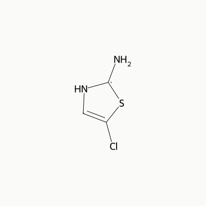 N[C]1NC=C(Cl)S1